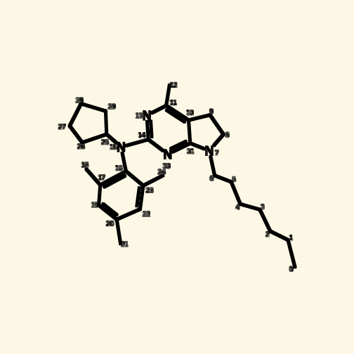 CCCCCCCN1CCc2c(C)nc(N(c3c(C)cc(C)cc3C)C3CCCC3)nc21